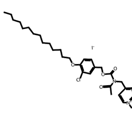 CCCCCCCCCCCCCCOc1ccc(COC(=O)N(Cc2cc[n+](C)cc2)C(C)=O)cc1Cl.[I-]